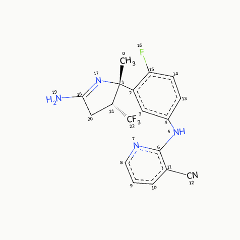 C[C@]1(c2cc(Nc3ncccc3C#N)ccc2F)N=C(N)C[C@H]1C(F)(F)F